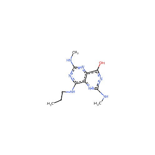 CCCNc1nc(NC)nc2c(O)nc(NC)nc12